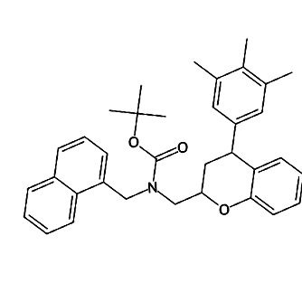 Cc1cc(C2CC(CN(Cc3cccc4ccccc34)C(=O)OC(C)(C)C)Oc3ccccc32)cc(C)c1C